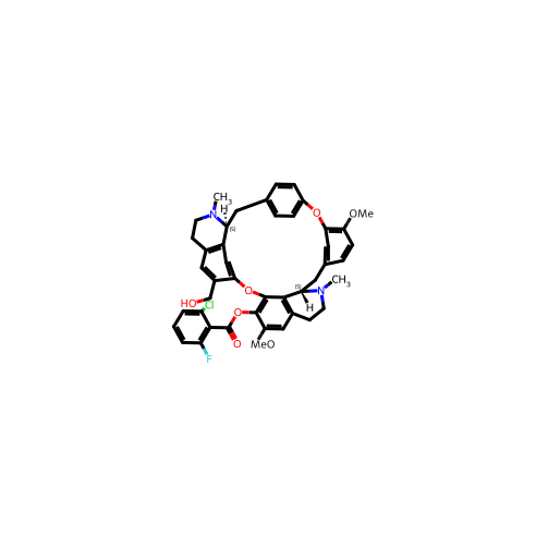 COc1ccc2cc1Oc1ccc(cc1)C[C@H]1c3cc(c(CO)cc3CCN1C)Oc1c(OC(=O)c3c(F)cccc3Cl)c(OC)cc3c1[C@H](C2)N(C)CC3